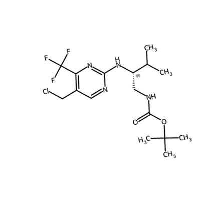 CC(C)[C@H](CNC(=O)OC(C)(C)C)Nc1ncc(CCl)c(C(F)(F)F)n1